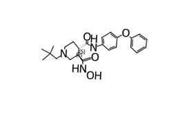 CC(C)(C)CN1CC[C@H](C(=O)Nc2ccc(Oc3ccccc3)cc2)[C@@H](C(=O)NO)C1